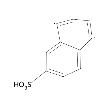 O=S(=O)(O)c1ccc2[c]cc[c]c2c1